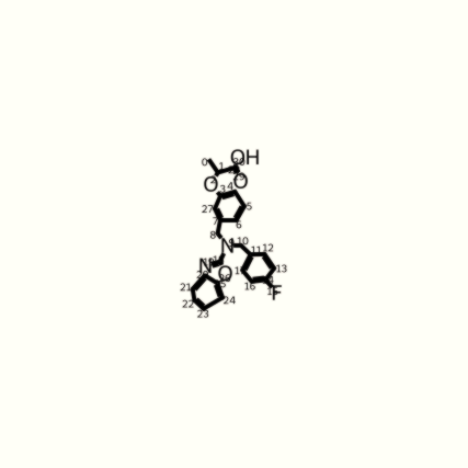 CC(Oc1cccc(CN(Cc2ccc(F)cc2)c2nc3ccccc3o2)c1)C(=O)O